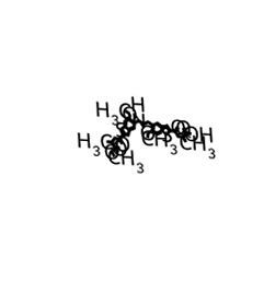 COC(=O)C(C)CC(=O)c1cc2cc(NCCc3cc4cc(C(=O)CC(C)C(=O)O)sc4cc3OC)c(OC)cc2s1